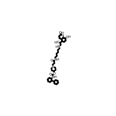 O=C(CCN1CCC(OC(=O)Nc2ccccc2-c2ccccc2)CC1)NCCCCCCNC[C@@H](O)c1ccc(O)c2[nH]c(=O)ccc12